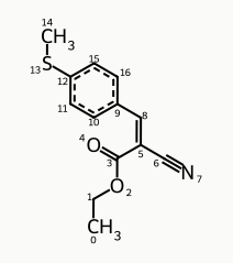 CCOC(=O)C(C#N)=Cc1ccc(SC)cc1